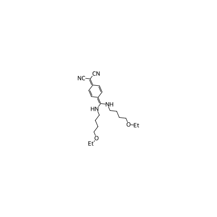 CCOCCCCNC(NCCCCOCC)=c1ccc(=C(C#N)C#N)cc1